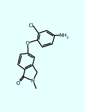 CN1Cc2cc(Oc3ccc(N)cc3Cl)ccc2C1=O